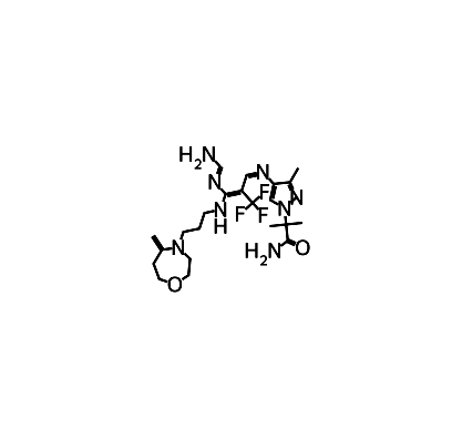 C=C1CCOCCN1CCCNC(/N=C/N)=C(/C=N\c1cn(C(C)(C)C(N)=O)nc1C)C(F)(F)F